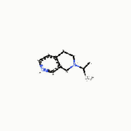 CC(C(=O)O)N1CCc2ccncc2C1